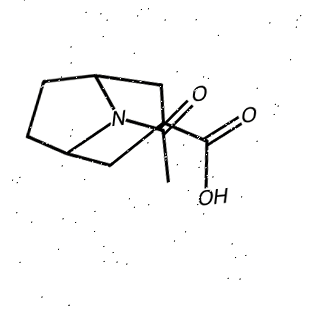 CC(=O)N1C2CCC1CC(C(=O)O)C2